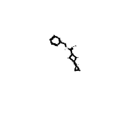 O=C(OCc1ccccc1)C1CC(=C2CC2)C1